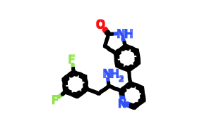 NC(Cc1cc(F)cc(F)c1)c1ncccc1-c1ccc2c(c1)CC(=O)N2